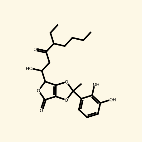 CCCCC(CC)C(=O)CC(O)C1OC(=O)C2=C1OC(C)(c1cccc(O)c1O)O2